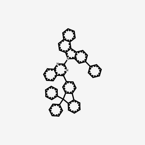 c1ccc(-c2ccc3c4c5ccccc5ccc4n(-c4nc(-c5ccc6c(c5)C(c5ccccc5)(c5ccccc5)c5ccccc5-6)c5ccccc5n4)c3c2)cc1